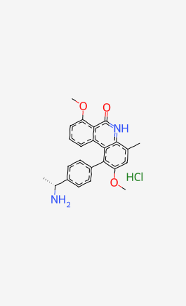 COc1cc(C)c2[nH]c(=O)c3c(OC)cccc3c2c1-c1ccc([C@@H](C)N)cc1.Cl